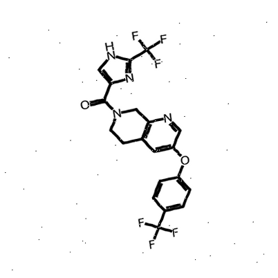 O=C(c1c[nH]c(C(F)(F)F)n1)N1CCc2cc(Oc3ccc(C(F)(F)F)cc3)cnc2C1